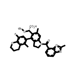 Cc1nc2cccc(C(=O)N3CCc4c3cc(C)c([C@H](OC(C)(C)C)C(=O)O)c4-c3cc(F)c4c(c3C)CCCO4)c2o1